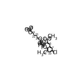 COC(=O)C1=Cc2cc(Cl)cc(C)c2O[C@]1(OC(=O)OCCCCO[N+](=O)[O-])C(F)(F)F